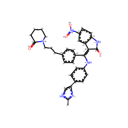 Cc1nc(-c2ccc(N/C(=C3\C(=O)Nc4ccc([N+](=O)[O-])cc43)c3ccc(CCCN4CCCCC4=O)cc3)cc2)c[nH]1